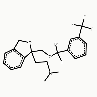 CN(C)CCC1(COC(Br)(I)c2cccc(C(F)(F)F)c2)OCc2ccccc21